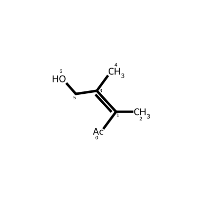 CC(=O)C(C)=C(C)CO